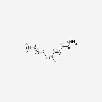 CN(C)/C=N/CCN(C)/C=N/CCN